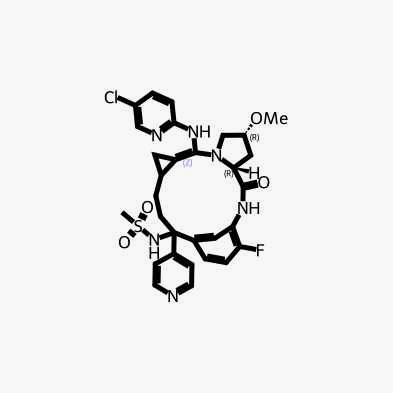 CO[C@@H]1C[C@@H]2C(=O)Nc3cc(ccc3F)C(NS(C)(=O)=O)(c3ccncc3)CCC3C/C3=C(\Nc3ccc(Cl)cn3)N2C1